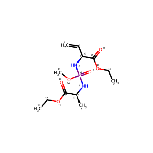 C=C[C@H](NP(=O)(N[C@@H](C)C(=O)OCC)OC)C(=O)OCC